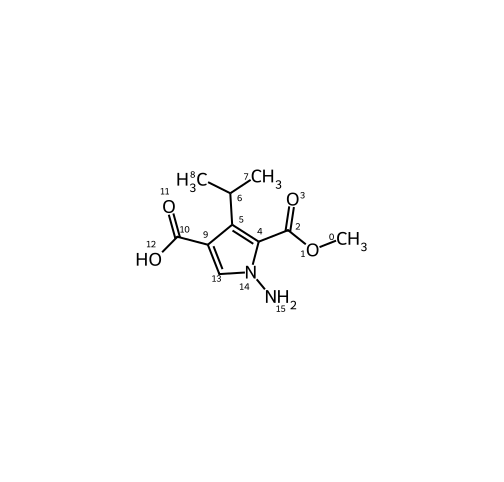 COC(=O)c1c(C(C)C)c(C(=O)O)cn1N